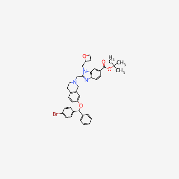 CC(C)(C)OC(=O)c1ccc2nc(CN3CCc4ccc(OC(c5ccccc5)c5ccc(Br)cc5)cc4C3)n(C[C@@H]3CCO3)c2c1